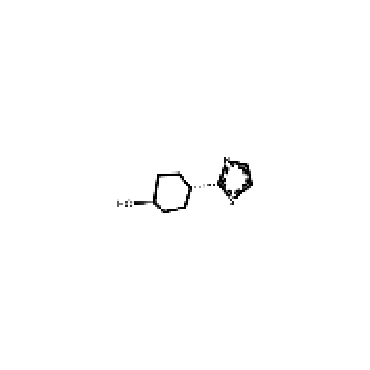 O[C@H]1CC[C@H](c2nccs2)CC1